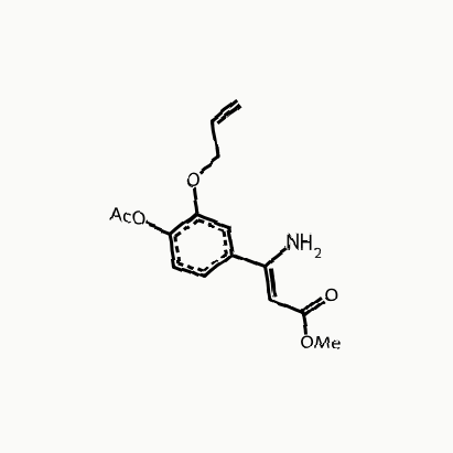 C=CCOc1cc(C(N)=CC(=O)OC)ccc1OC(C)=O